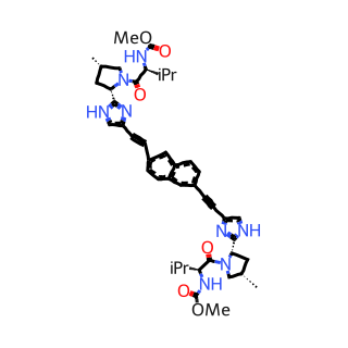 COC(=O)N[C@H](C(=O)N1C[C@@H](C)C[C@H]1c1nc(C#Cc2ccc3cc(C#Cc4c[nH]c([C@@H]5C[C@H](C)CN5C(=O)[C@@H](NC(=O)OC)C(C)C)n4)ccc3c2)c[nH]1)C(C)C